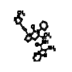 C[C@@H](NC(=O)c1c(N)nc2cccnn12)c1cc2ccc(C#Cc3cnn(C)c3)n2c(=O)n1-c1ccccc1